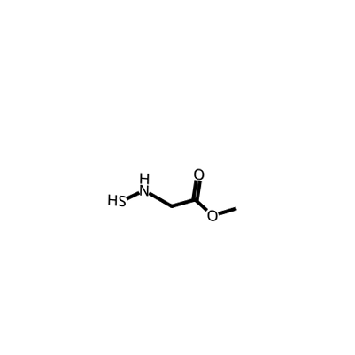 COC(=O)CNS